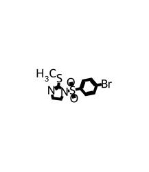 CSC1=NCCN1S(=O)(=O)c1ccc(Br)cc1